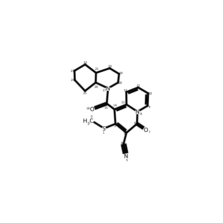 CSc1c(C#N)c(=O)n2ccccc2c1C(=O)N1CCCC2CCCCC21